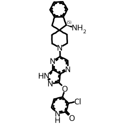 N[C@@H]1c2ccccc2CC12CCN(c1cnc3c(Oc4cc[nH]c(=O)c4Cl)n[nH]c3n1)CC2